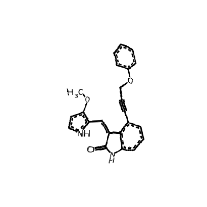 COc1cc[nH]c1C=C1C(=O)Nc2cccc(C#CCOc3ccccc3)c21